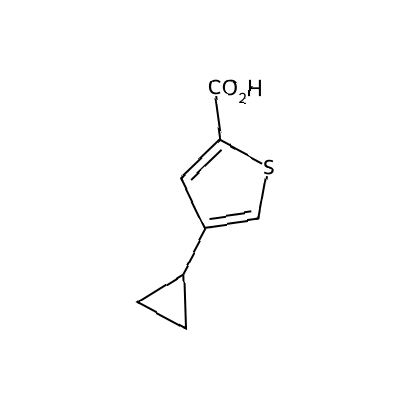 O=C(O)c1cc(C2CC2)cs1